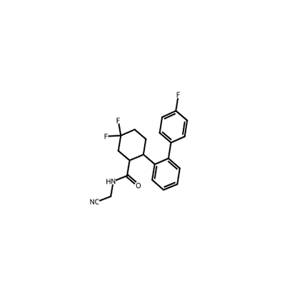 N#CCNC(=O)C1CC(F)(F)CCC1c1ccccc1-c1ccc(F)cc1